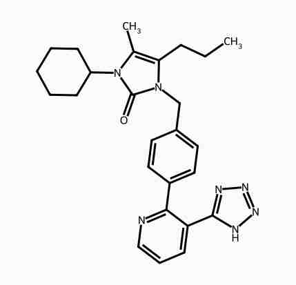 CCCc1c(C)n(C2CCCCC2)c(=O)n1Cc1ccc(-c2ncccc2-c2nnn[nH]2)cc1